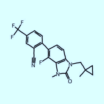 Cn1c(=O)n(CC2(C)CC2)c2ccc(-c3ccc(C(F)(F)F)cc3C#N)c(F)c21